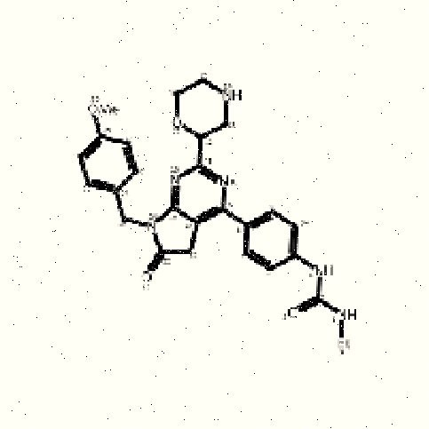 CCNC(=O)Nc1ccc(-c2nc(C3CNCCO3)nc3c2CC(=O)N3Cc2ccc(OC)cc2)cc1